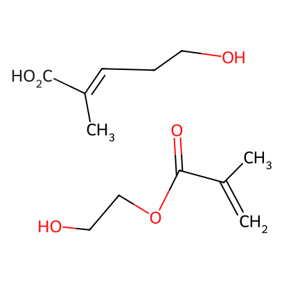 C=C(C)C(=O)OCCO.CC(=CCCO)C(=O)O